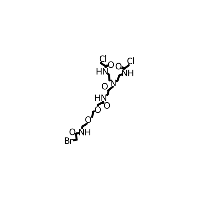 O=C(CNC(=O)COCCOCCNC(=O)CBr)CN(CCNC(=O)CCl)CCNC(=O)CCl